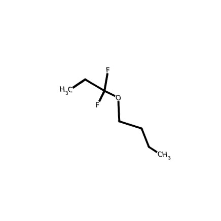 CCCCOC(F)(F)CC